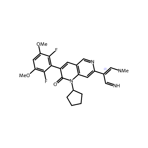 CN/C=C(\C=N)c1cc2c(cn1)cc(-c1c(F)c(OC)cc(OC)c1F)c(=O)n2C1CCCC1